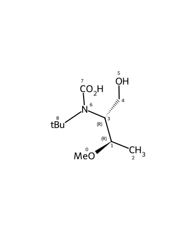 CO[C@H](C)[C@@H](CO)N(C(=O)O)C(C)(C)C